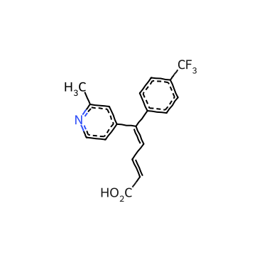 Cc1cc(/C(=C\C=C\C(=O)O)c2ccc(C(F)(F)F)cc2)ccn1